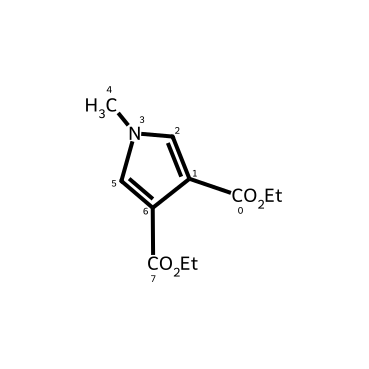 CCOC(=O)c1cn(C)cc1C(=O)OCC